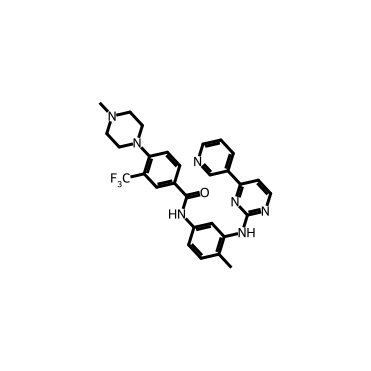 Cc1ccc(NC(=O)c2ccc(N3CCN(C)CC3)c(C(F)(F)F)c2)cc1Nc1nccc(-c2cccnc2)n1